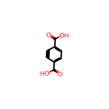 O=C(O)c1c#cc(C(=O)O)cc1